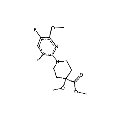 COC(=O)C1(OC)CCN(c2nc(OC)c(F)cc2F)CC1